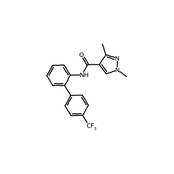 Cc1nn(C)cc1C(=O)Nc1ccccc1-c1ccc(C(F)(F)F)cc1